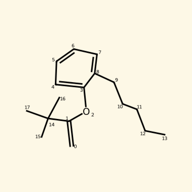 C=C(Oc1ccccc1CCCCC)C(C)(C)C